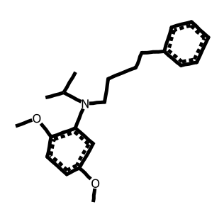 COc1ccc(OC)c(N(CCCCc2ccccc2)C(C)C)c1